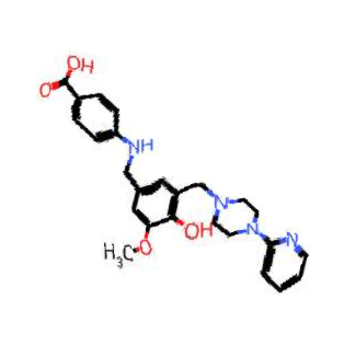 COc1cc(CNc2ccc(C(=O)O)cc2)cc(CN2CCN(c3ccccn3)CC2)c1O